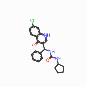 O=C(NC1CCCC1)NC(c1ccccc1)c1c[nH]c2cc(Cl)ccc2c1=O